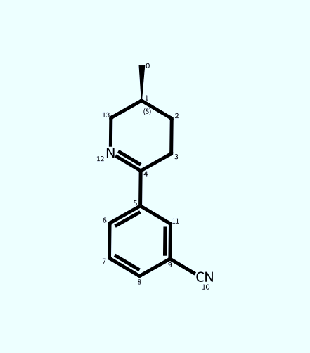 C[C@H]1CCC(c2cccc(C#N)c2)=NC1